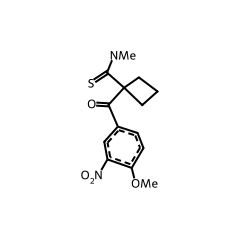 CNC(=S)C1(C(=O)c2ccc(OC)c([N+](=O)[O-])c2)CCC1